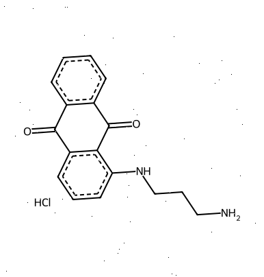 Cl.NCCCNc1cccc2c1C(=O)c1ccccc1C2=O